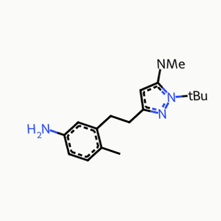 CNc1cc(CCc2cc(N)ccc2C)nn1C(C)(C)C